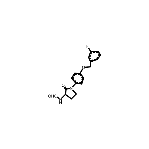 O=CNC1CCN(c2ccc(OCc3cccc(F)c3)cc2)C1=O